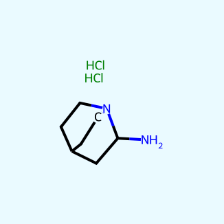 Cl.Cl.NC1CC2CCN1CC2